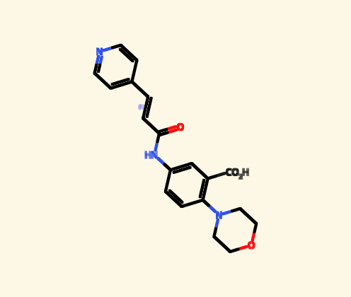 O=C(/C=C/c1ccncc1)Nc1ccc(N2CCOCC2)c(C(=O)O)c1